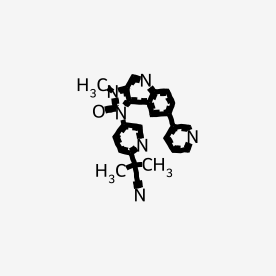 Cn1c(=O)n(-c2ccc(C(C)(C)C#N)nc2)c2c3cc(-c4cccnc4)ccc3ncc21